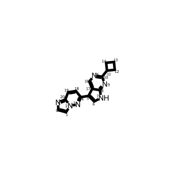 c1cn2nc(-c3c[nH]c4nc(C5CCC5)ncc34)ccc2n1